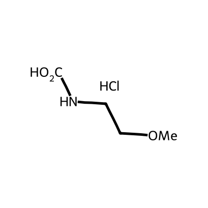 COCCNC(=O)O.Cl